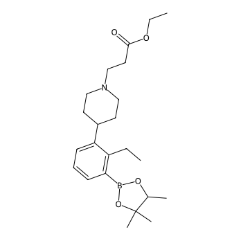 CCOC(=O)CCN1CCC(c2cccc(B3OC(C)C(C)(C)O3)c2CC)CC1